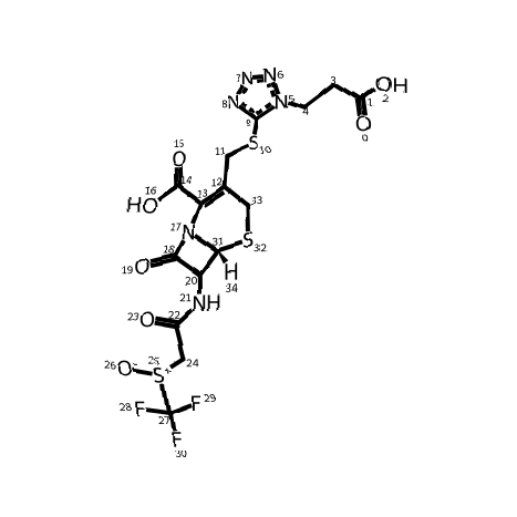 O=C(O)CCn1nnnc1SCC1=C(C(=O)O)N2C(=O)C(NC(=O)C[S+]([O-])C(F)(F)F)[C@H]2SC1